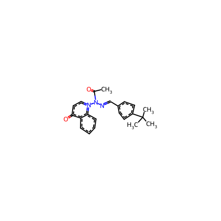 CC(=O)N(N=Cc1ccc(C(C)(C)C)cc1)n1ccc(=O)c2ccccc21